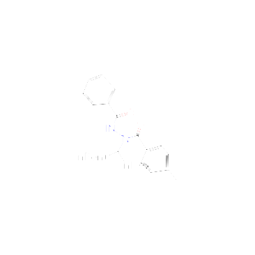 CCCCCCC(CCCCC)N(NC(=O)c1ccccc1)C(=O)c1ccc(C)cc1